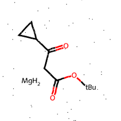 CC(C)(C)OC(=O)CC(=O)C1CC1.[MgH2]